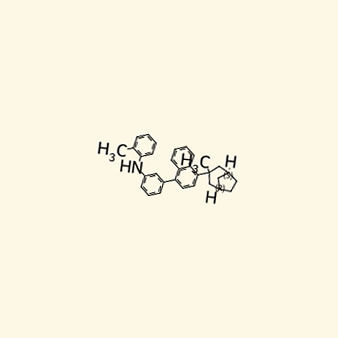 Cc1ccccc1Nc1cccc(-c2ccc(C3(C)C[C@@H]4CC[C@@H](C4)C3)c3ccccc23)c1